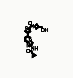 O=C(Nc1cn2cc(-c3csc(C(=O)N4CC(CO)C4)c3)ccc2n1)C1CC1